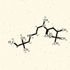 C=C(CC(C)C(C)(C)C)N(C)CCBCC(C)(C)CC